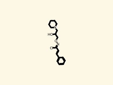 OC(CON=C(Cl)C=Cc1ccccc1)CN1CCCCC1